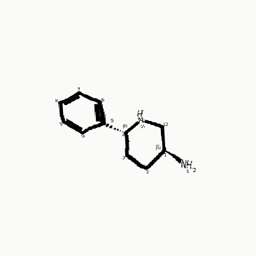 N[C@H]1CC[C@H](c2ccccc2)NC1